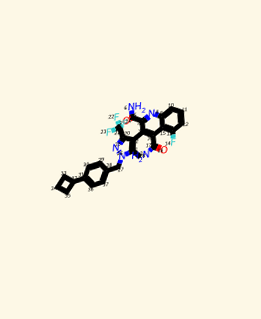 Cc1c(-c2c(C(N)=O)nc3cccc(F)c3c2C(N)=O)c(C(F)(F)F)nn1Cc1ccc(C2CCC2)cc1